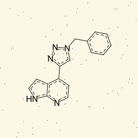 c1ccc(Cn2cc(-c3ccnc4[nH]ccc34)nn2)cc1